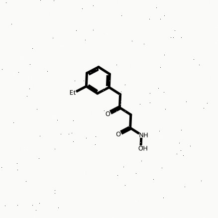 CCc1cccc(CC(=O)CC(=O)NO)c1